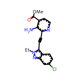 CCn1nc2cc(Cl)ccc2c1C#Cc1nccc(C(=O)OC)c1N